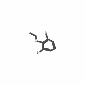 C[CH]Oc1c(Br)cccc1Br